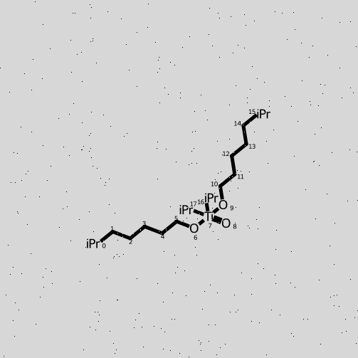 CC(C)CCCCC[O][Ti](=[O])([O]CCCCCC(C)C)([CH](C)C)[CH](C)C